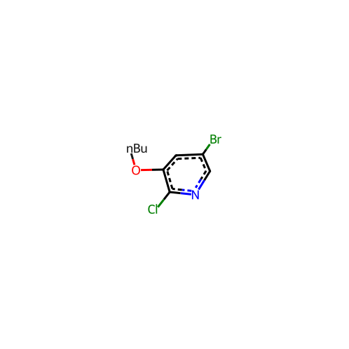 CCCCOc1cc(Br)cnc1Cl